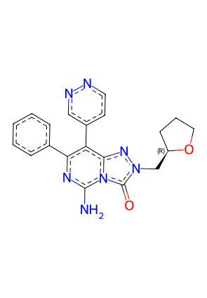 Nc1nc(-c2ccccc2)c(-c2ccnnc2)c2nn(C[C@H]3CCCO3)c(=O)n12